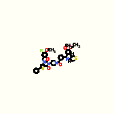 CCOc1cc2c(cc1OC)C(c1cccc(C(=O)N3CCC(n4c(=O)c5sc(-c6ccccc6)cc5n(Cc5ccc(OC)c(F)c5)c4=O)CC3)c1)=N[C@@H]1CCSC[C@H]21